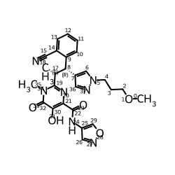 COCCCn1cc([C@@H](c2ccccc2C#N)[C@@H](C)c2nc(C(=O)Nc3cnoc3)c(O)c(=O)n2C)cn1